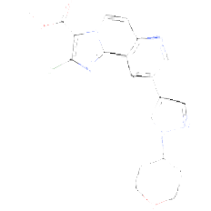 COC(=O)c1c(Cl)nc2c3cc(-c4cnn(C5CCOCC5)c4)cnc3ccn12